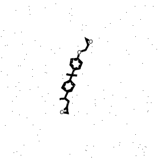 CC(CC1CO1)c1ccc(C(C)(C)c2ccc(OCC3CO3)cc2)cc1